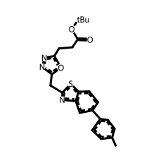 Cc1ccc(-c2ccc3sc(Cc4nnc(CCC(=O)OC(C)(C)C)o4)nc3c2)cc1